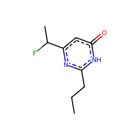 CCCc1nc(C(C)F)cc(=O)[nH]1